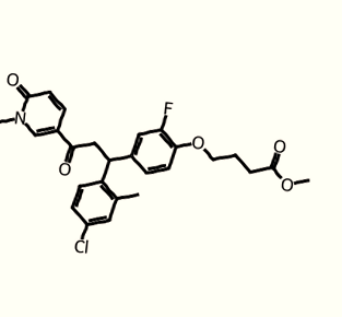 COC(=O)CCCOc1ccc(C(CC(=O)c2ccc(=O)n(C)c2)c2ccc(Cl)cc2C)cc1F